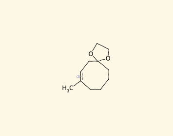 C/C1=C/CC2(CCCC1)OCCO2